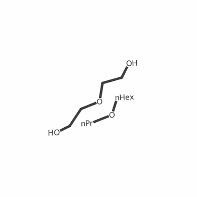 CCCCCCOCCC.OCCOCCO